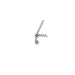 CCCCCCCCCCCCCCc1nc(CCCc2ccccc2)cn1CCCCCCCC